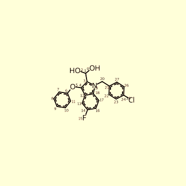 OC(O)c1c(Oc2ccccc2)c2cc(F)ccc2n1Cc1ccc(Cl)cc1